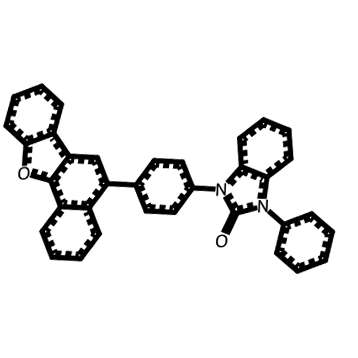 O=c1n(-c2ccccc2)c2ccccc2n1-c1ccc(-c2cc3c4ccccc4oc3c3ccccc23)cc1